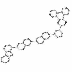 c1cc(-c2ccc3cc(-c4ccc5cc(-c6cccc7c6sc6ccccc67)ccc5c4)ccc3c2)cc(-c2cnc3c4ccccc4c4ccccc4c3n2)c1